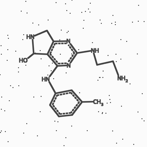 Cc1cccc(Nc2nc(NCCN)nc3c2C(O)NC3)c1